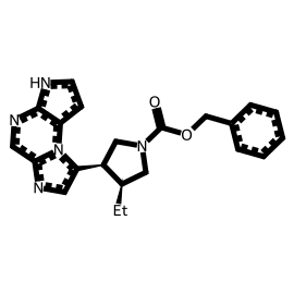 CC[C@@H]1CN(C(=O)OCc2ccccc2)C[C@@H]1c1cnc2cnc3[nH]ccc3n12